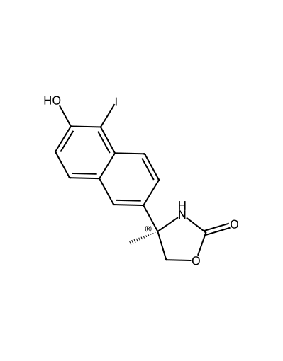 C[C@@]1(c2ccc3c(I)c(O)ccc3c2)COC(=O)N1